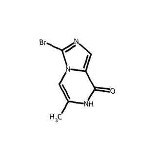 Cc1cn2c(Br)ncc2c(=O)[nH]1